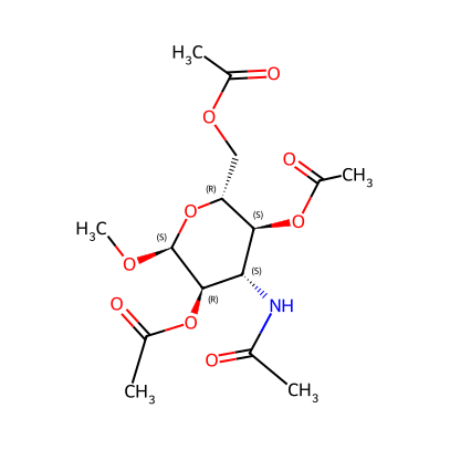 CO[C@H]1O[C@H](COC(C)=O)[C@@H](OC(C)=O)[C@H](NC(C)=O)[C@H]1OC(C)=O